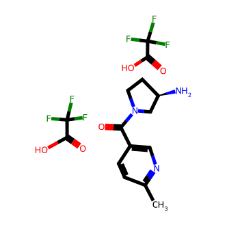 Cc1ccc(C(=O)N2CC[C@@H](N)C2)cn1.O=C(O)C(F)(F)F.O=C(O)C(F)(F)F